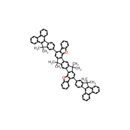 CC1(C)c2cc3c(cc2-c2c1cc(-c1ccc4c(c1)C(C)(C)c1c-4c4ccccc4c4ccccc14)c1c2oc2ccccc21)C(C)(C)c1cc(-c2ccc4c(c2)C(C)(C)c2c-4c4ccccc4c4ccccc24)c2c(oc4ccccc42)c1-3